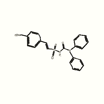 CC(C)(C)c1ccc(/C=C/S(=O)(=O)NC(=O)N(c2ccccc2)c2ccccc2)cc1